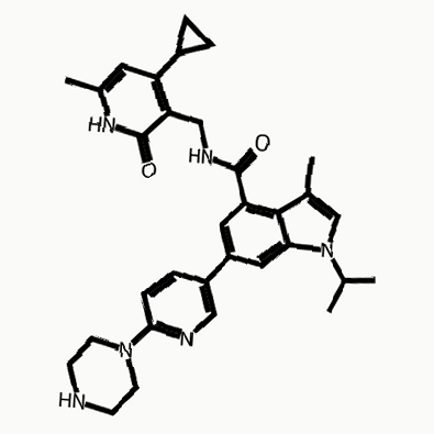 Cc1cc(C2CC2)c(CNC(=O)c2cc(-c3ccc(N4CCNCC4)nc3)cc3c2c(C)cn3C(C)C)c(=O)[nH]1